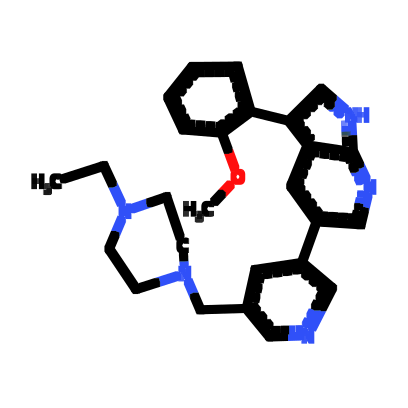 CCN1CCN(Cc2cncc(-c3cnc4[nH]cc(-c5ccccc5OC)c4c3)c2)CC1